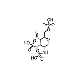 O=C[C@@H]1C(COS(=O)(=O)O)OCC(NS(=O)(=O)O)[C@H]1OS(=O)(=O)O